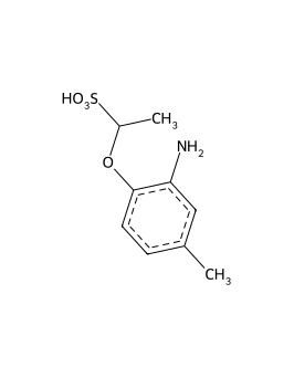 Cc1ccc(OC(C)S(=O)(=O)O)c(N)c1